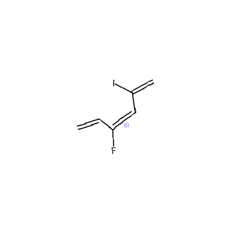 C=C/C(F)=C\C(=C)I